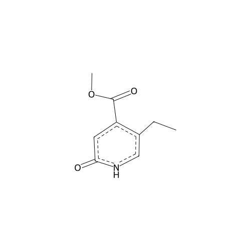 CCc1c[nH]c(=O)cc1C(=O)OC